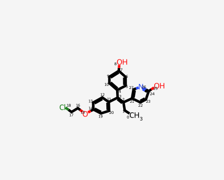 CCC(=C(c1ccc(O)cc1)c1ccc(OCCCl)cc1)c1ccc(O)nc1